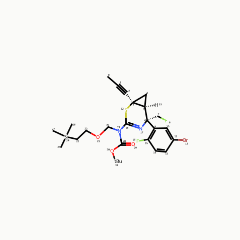 CC#C[C@]12C[C@H]1[C@@](CF)(c1cc(Br)ccc1F)N=C(N(COCC[Si](C)(C)C)C(=O)OC(C)(C)C)S2